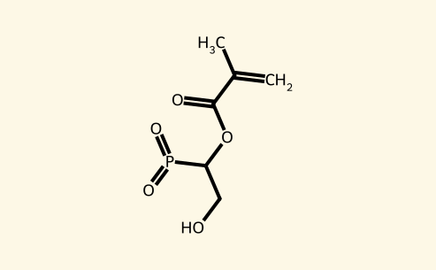 C=C(C)C(=O)OC(CO)P(=O)=O